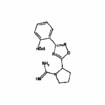 CCCCCCCCc1ccccc1-c1noc(C2CCCN2C(=N)N)n1